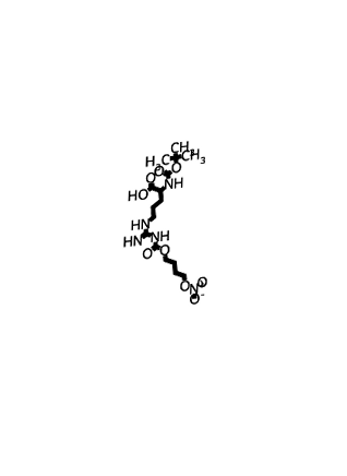 CC(C)(C)OC(=O)NC(CCCNC(=N)NC(=O)OCCCCO[N+](=O)[O-])C(=O)O